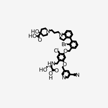 N#Cc1cncc(COc2cc(OCc3cccc(-c4cccc5c4CCN5CCCN4CCC(O)(C(=O)O)CC4)c3Br)c(Cl)cc2CN[C@@H](CO)C(=O)O)c1